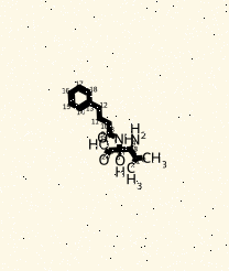 CC(C)[C@H](N)[C@@](O)(NC(=O)CCCc1ccccc1)C(=O)O